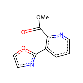 COC(=O)c1ncccc1-c1ncco1